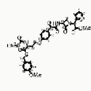 COC(=O)C(c1cccs1)N1CC(NC(=O)C(=O)c2ccc(OCCC(NC(=O)OC(C)(C)C)C(=O)OCc3ccc(OC)cc3)cc2)C1=O